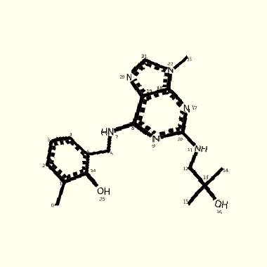 Cc1cccc(CNc2nc(NCC(C)(C)O)nc3c2ncn3C)c1O